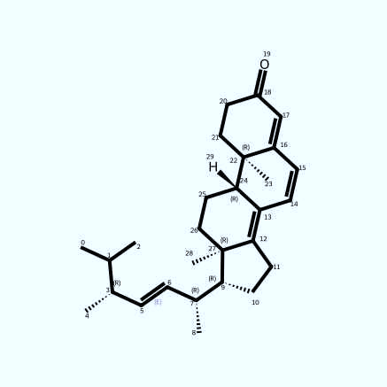 CC(C)[C@@H](C)/C=C/[C@@H](C)[C@H]1CCC2=C3C=CC4=CC(=O)CC[C@]4(C)[C@H]3CC[C@@]21C